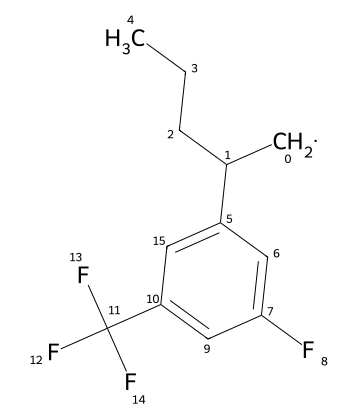 [CH2]C(CCC)c1cc(F)cc(C(F)(F)F)c1